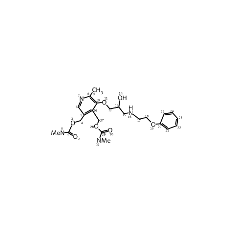 CNC(=O)OCc1cnc(C)c(OCC(O)CNCCOc2ccccc2)c1COC(=O)NC